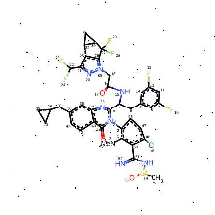 CNc1c(-n2c(C(Cc3cc(F)cc(F)c3)NC(=O)Cn3nc(C(F)F)c4c3C(F)(F)C3CC43)nc3cc(CC4CC4)ccc3c2=O)ccc(Cl)c1C(=N)N[S+](C)[O-]